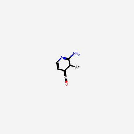 CC(=O)C1C(=C=O)C=CN=C1N